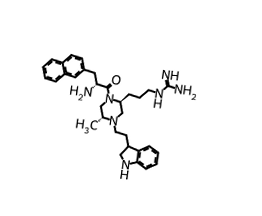 C[C@@H]1CN(C(=O)[C@H](N)Cc2ccc3ccccc3c2)[C@@H](CCCNC(=N)N)CN1CCC1CNc2ccccc21